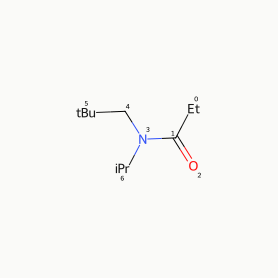 CCC(=O)N(CC(C)(C)C)C(C)C